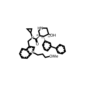 COCCCn1cc(CN(C(=O)[C@H]2CNC[C@@H](O)[C@@H]2c2cccc(-c3ccccc3)c2)C2CC2)c2ccccc21